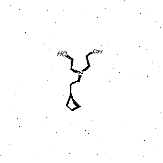 OCCN(CCO)CCC1CCC1